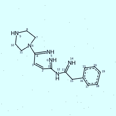 N=C(/C=C\C(=N)N1CCNCC1)NC(=N)Cc1ccccc1